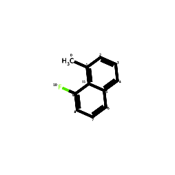 Cc1cccc2cccc(F)c12